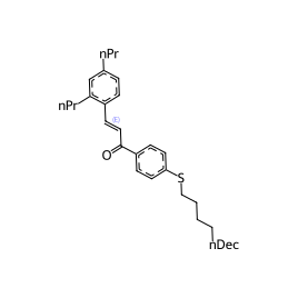 CCCCCCCCCCCCCCSc1ccc(C(=O)/C=C/c2ccc(CCC)cc2CCC)cc1